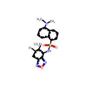 CCOC(=O)c1c(CC)cc2nonc2c1NS(=O)(=O)c1cccc2c(N(C)C)cccc12